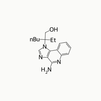 CCCCC(CC)(CO)n1cnc2c(N)nc3ccccc3c21